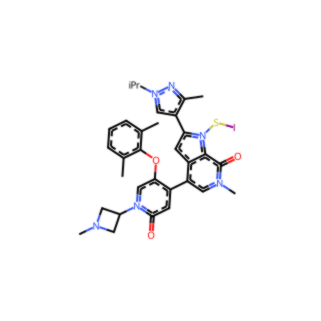 Cc1cccc(C)c1Oc1cn(C2CN(C)C2)c(=O)cc1-c1cn(C)c(=O)c2c1cc(-c1cn(C(C)C)nc1C)n2SI